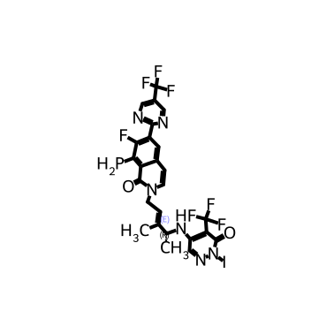 C/C(=C\Cn1ccc2cc(-c3ncc(C(F)(F)F)cn3)c(F)c(P)c2c1=O)[C@@H](C)Nc1cnn(I)c(=O)c1C(F)(F)F